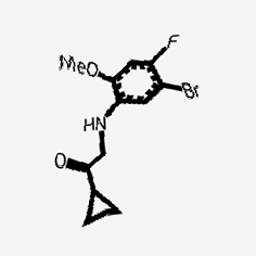 COc1cc(F)c(Br)cc1NCC(=O)C1CC1